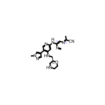 C=N/C(=C\N=C(/C)C#N)Nc1cc(NC[C@@H]2CNCCO2)c(-c2cnn(C)c2)cn1